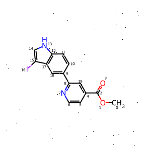 COC(=O)c1ccnc(-c2ccc3[nH]cc(I)c3c2)c1